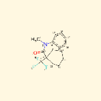 CN(C(=O)C1(C(F)(F)F)CCCCC1)c1ccccc1